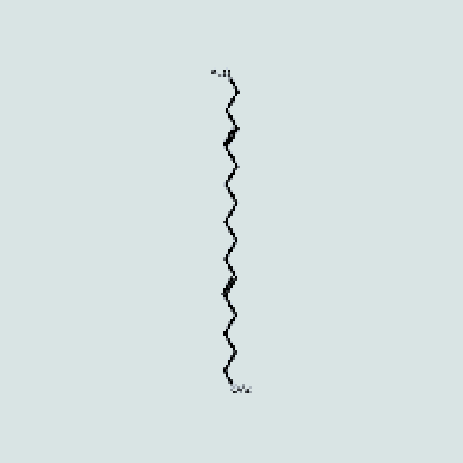 CC(=O)OCCC=CCCCCCCC=CCCCCOC(C)=O